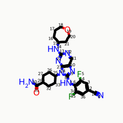 N#Cc1cc(F)c(Nc2nc3cnc(NC4CCCOCC4)nc3n2C2CCC(C(N)=O)CC2)c(F)c1